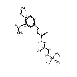 COc1ccc(C=CC(=O)OCC(O)CNC(C)(C)C)cc1OC